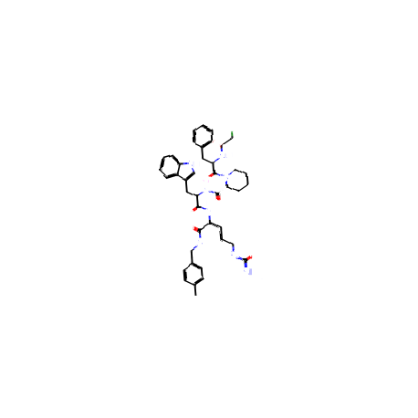 Cc1ccc(CNC(=O)C(CCCNC(N)=O)NC(=O)C(Cc2c[nH]c3ccccc23)NC(=O)[C@@H]2CCCCN2C(=O)C(Cc2ccccc2)NC(=O)CCl)cc1